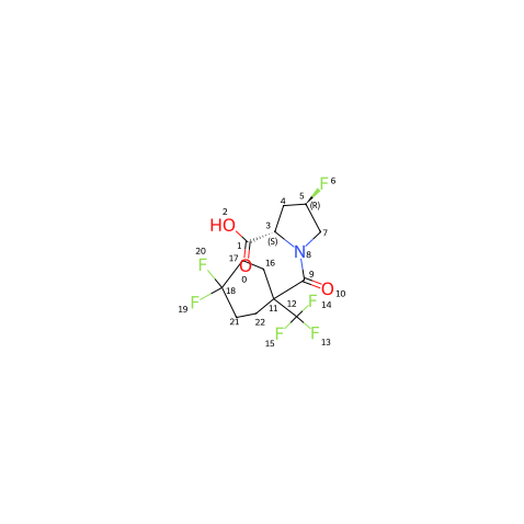 O=C(O)[C@@H]1C[C@@H](F)CN1C(=O)C1(C(F)(F)F)CCC(F)(F)CC1